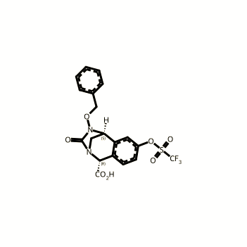 O=C(O)[C@H]1c2ccc(OS(=O)(=O)C(F)(F)F)cc2[C@H]2CN1C(=O)N2OCc1ccccc1